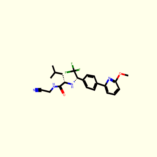 COc1cccc(-c2ccc([C@H](N[C@@H](CC(C)C)C(=O)NCC#N)C(F)(F)F)cc2)n1